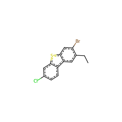 CCc1cc2c(cc1Br)sc1cc(Cl)ccc12